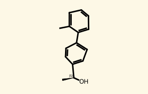 Cc1ccccc1-c1ccc([C@H](C)O)cc1